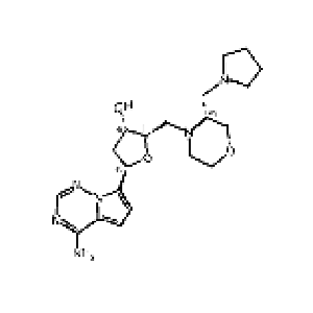 Nc1ncnn2c([C@H]3C[C@H](O)[C@@H](CN4CCOC[C@H]4CN4CCCC4)O3)ccc12